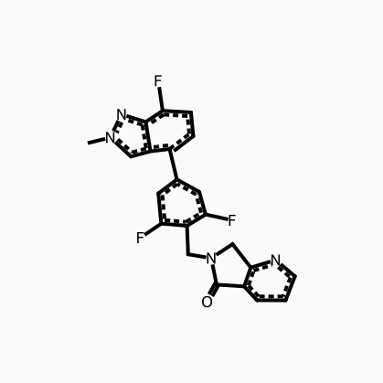 Cn1cc2c(-c3cc(F)c(CN4Cc5ncccc5C4=O)c(F)c3)ccc(F)c2n1